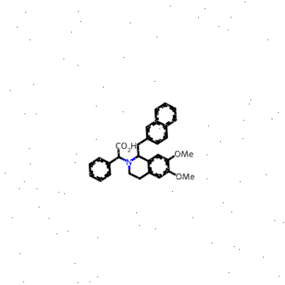 COc1cc2c(cc1OC)C(Cc1ccc3ccccc3c1)N(C(C(=O)O)c1ccccc1)CC2